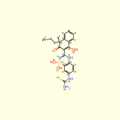 CC(C)CC[C@@]1(C)C(=O)C(C2=NS(O)(O)c3cc(NC(N)=S)ccc3N2)=C(O)c2ccccc21